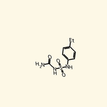 CCc1ccc(NS(=O)(=O)NC(N)=O)cc1